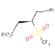 CCOC(=O)C[C@@H](CC(C)C)S(=O)(=O)C(F)(F)F